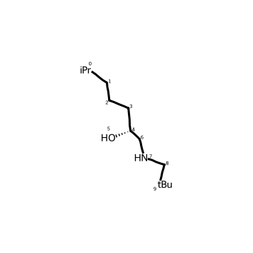 CC(C)CCC[C@@H](O)CNCC(C)(C)C